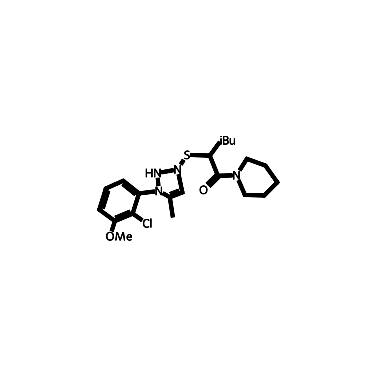 CCC(C)C(SN1C=C(C)N(c2cccc(OC)c2Cl)N1)C(=O)N1CCCCC1